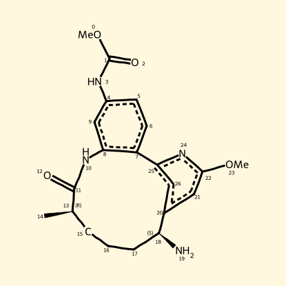 COC(=O)Nc1ccc2c(c1)NC(=O)[C@H](C)CCC[C@H](N)c1cc(OC)nc-2c1